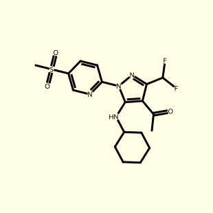 CC(=O)c1c(C(F)F)nn(-c2ccc(S(C)(=O)=O)cn2)c1NC1CCCCC1